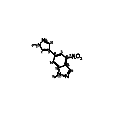 Cn1cc(-c2cc([N+](=O)[O-])c3cnn(C)c3c2)cn1